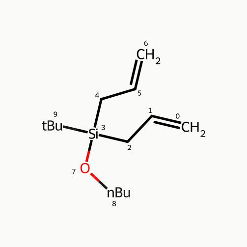 C=CC[Si](CC=C)(OCCCC)C(C)(C)C